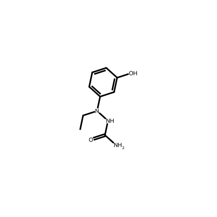 CCN(NC(N)=O)c1cccc(O)c1